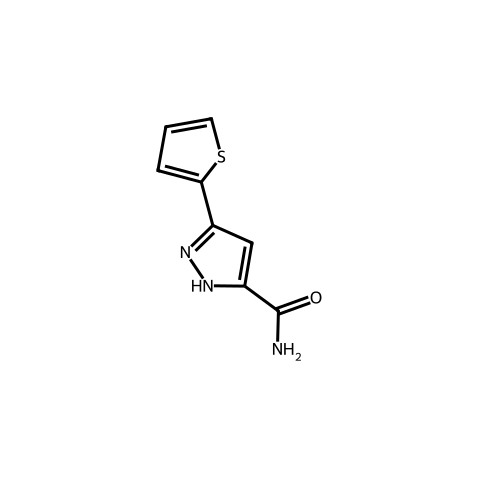 NC(=O)c1cc(-c2cccs2)n[nH]1